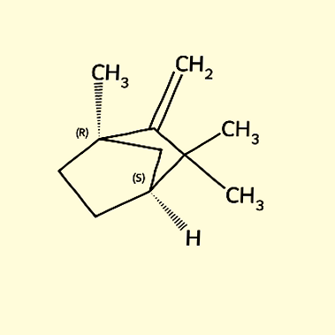 C=C1C(C)(C)[C@H]2CC[C@]1(C)C2